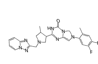 Cc1cc(F)c(F)cc1N1C=C2N=C(C3CN(Cc4nc5ccccn5n4)CC3C)NC(=O)N2C1